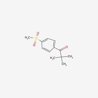 CC(C)(C)C(=O)c1ccc(S(C)(=O)=O)cc1